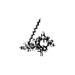 CCCCCCCCCCCCCCCC(=O)N(C)[C@H](CO)C(=O)N[C@H](C)C(=O)NCC(=O)N(C)[C@@H]1C(=O)N[C@@H](CCC)C(=O)NC(C(=O)O)Cc2ccc(O)c(c2)-c2cc1ccc2O